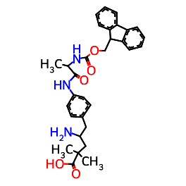 CC(NC(=O)OCC1c2ccccc2-c2ccccc21)C(=O)Nc1ccc(CC(N)CC(C)(C)C(=O)O)cc1